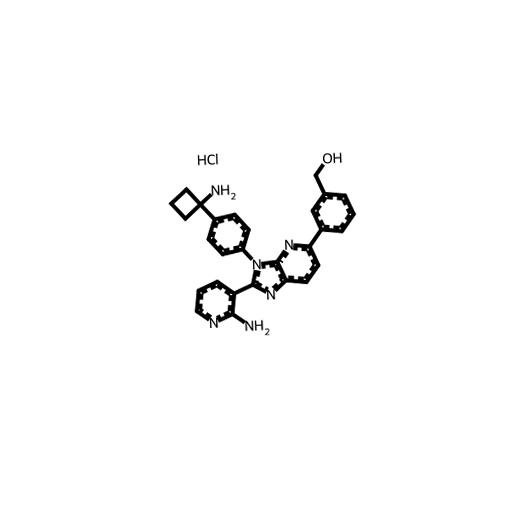 Cl.Nc1ncccc1-c1nc2ccc(-c3cccc(CO)c3)nc2n1-c1ccc(C2(N)CCC2)cc1